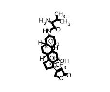 CC(C)[C@@H](N)C(=O)N[C@@H]1CC[C@]2(C)[C@H](CC[C@@H]3[C@H]2C[C@@H](O)[C@@]2(C)[C@@H](C4=CC(=O)OC4)CC[C@@]32O)C1